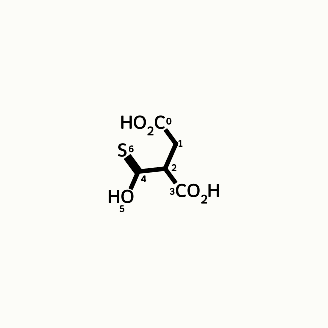 O=C(O)CC(C(=O)O)C(O)=S